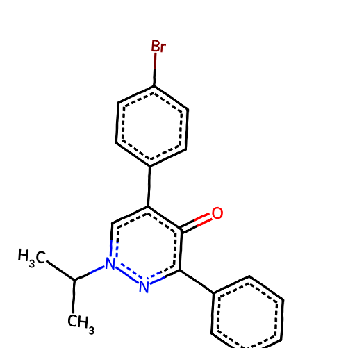 CC(C)n1cc(-c2ccc(Br)cc2)c(=O)c(-c2ccccc2)n1